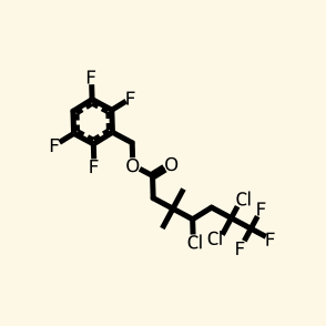 CC(C)(CC(=O)OCc1c(F)c(F)cc(F)c1F)C(Cl)CC(Cl)(Cl)C(F)(F)F